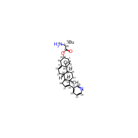 CCC(C)[C@@H](N)C(=O)O[C@H]1CC[C@@]2(C)C(=CC[C@@H]3[C@@H]2CC[C@]2(C)C(c4cccnc4)=CC[C@@H]32)C1